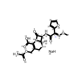 CO/N=C(/C(=O)N[C@@H]1C(=O)N2C(C(=O)O)=C(COC(N)=O)CS[C@H]12)c1ccco1.[NaH]